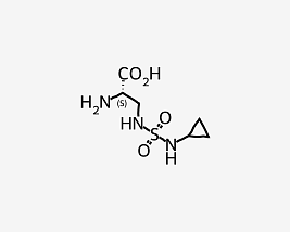 N[C@@H](CNS(=O)(=O)NC1CC1)C(=O)O